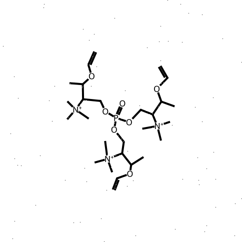 C=COC(C)C(COP(=O)(OCC(C(C)OC=C)[N+](C)(C)C)OCC(C(C)OC=C)[N+](C)(C)C)[N+](C)(C)C